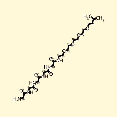 C=C(C)CCOCCOCCOCCOCCNC(=O)CNC(=O)CNC(=O)CNC(=O)CNC(=O)CN